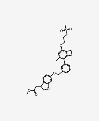 COC(=O)CC1COc2cc(OCc3cccc(-c4c(C)cc(OCCCS(C)(=O)=O)c5c4CC5)c3)ccc21